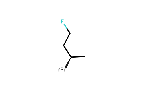 CCC[C@H](C)CCF